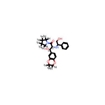 [2H]C1([2H])Oc2ccc([C@@H](O)[C@H](NC(CO)c3ccccc3)C(=O)N3C([2H])([2H])C([2H])([2H])C([2H])([2H])C3([2H])[2H])cc2OC1([2H])[2H]